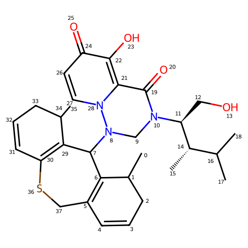 CC1CC=CC2=C1C(N1CN([C@@H](CO)[C@@H](C)C(C)C)C(=O)c3c(O)c(=O)ccn31)C1=C(C=CCC1C)SC2